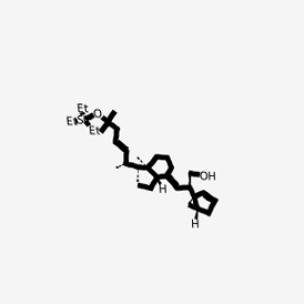 CC[Si](CC)(CC)OC(C)(C)C/C=C/[C@@H](C)[C@H]1CC[C@H]2/C(=C/[C@@H](CO)[C@@]34C=CC[C@@H]3C4)CCC[C@]12C